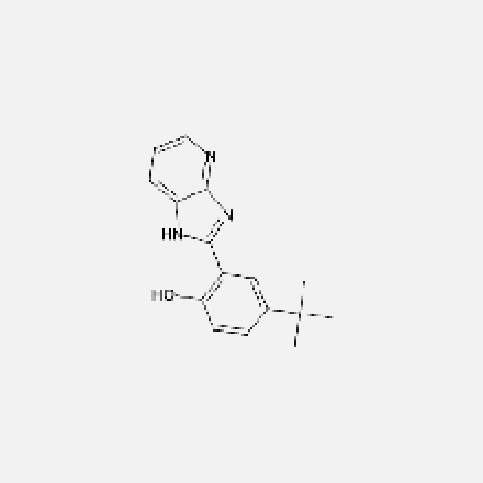 CC(C)(C)c1ccc(O)c(-c2nc3ncccc3[nH]2)c1